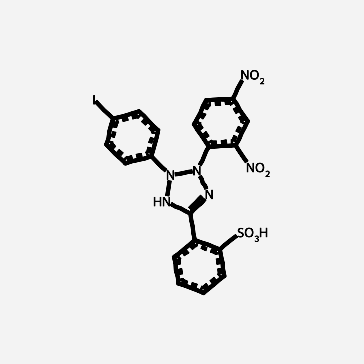 O=[N+]([O-])c1ccc(N2N=C(c3ccccc3S(=O)(=O)O)NN2c2ccc(I)cc2)c([N+](=O)[O-])c1